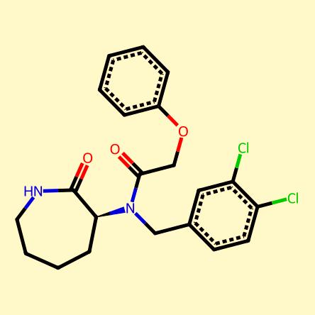 O=C1NCCCC[C@@H]1N(Cc1ccc(Cl)c(Cl)c1)C(=O)COc1ccccc1